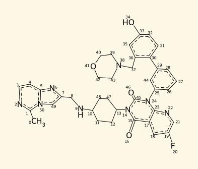 Cc1nccc2nc(CNC3CCC(n4c(=O)c5cc(F)cnc5n(-c5cccc(-c6ccc(O)cc6CN6CCOCC6)c5)c4=O)CC3)cn12